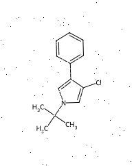 CC(C)(C)n1cc(Cl)c(-c2ccccc2)c1